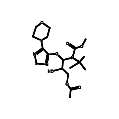 COC(=O)N(C(Oc1nsnc1N1CCOCC1)C(O)COC(C)=O)C(C)(C)C